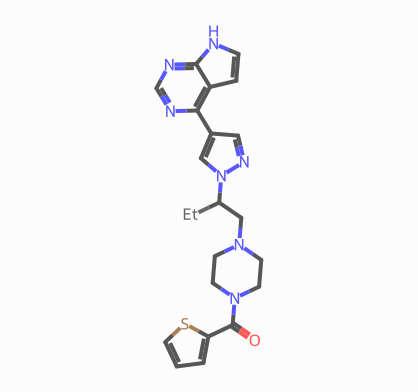 CCC(CN1CCN(C(=O)c2cccs2)CC1)n1cc(-c2ncnc3[nH]ccc23)cn1